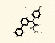 O=C(NO)C(c1ccc(F)cc1)c1cccc(-c2ccccc2)c1